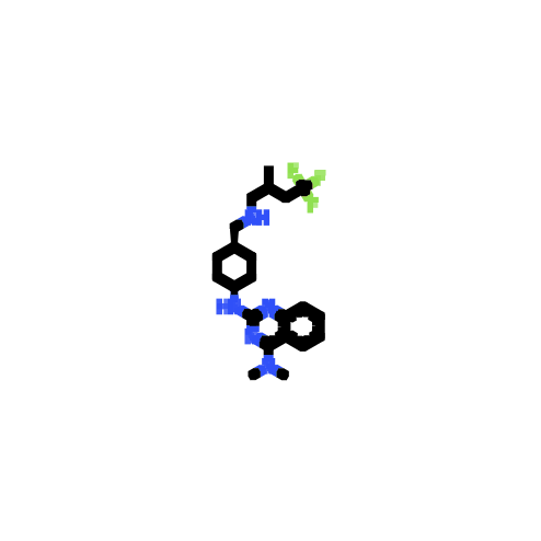 CC(CNC[C@H]1CC[C@@H](Nc2nc(N(C)C)c3ccccc3n2)CC1)CC(F)(F)F